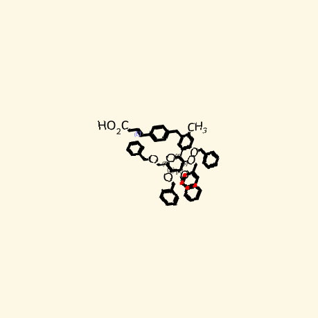 Cc1cc(OCc2ccccc2)c([C@@H]2O[C@H](COCc3ccccc3)[C@H](OCc3ccccc3)[C@H](OCc3ccccc3)[C@H]2OCc2ccccc2)cc1Cc1ccc(/C=C/CC(=O)O)cc1